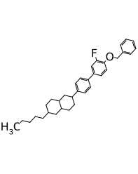 CCCCCC1CCC2CC(c3ccc(-c4ccc(OCc5ccccc5)c(F)c4)cc3)CCC2C1